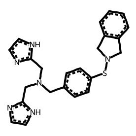 c1ccc2c(c1)CN(Sc1ccc(CN(Cc3ncc[nH]3)Cc3ncc[nH]3)cc1)C2